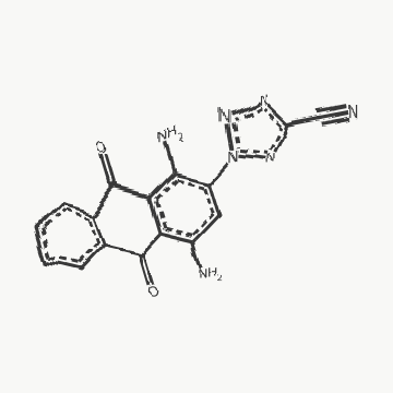 N#Cc1nnn(-c2cc(N)c3c(c2N)C(=O)c2ccccc2C3=O)n1